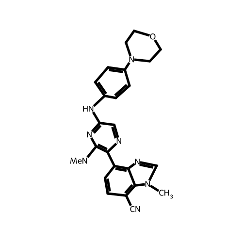 CNc1nc(Nc2ccc(N3CCOCC3)cc2)cnc1-c1ccc(C#N)c2c1ncn2C